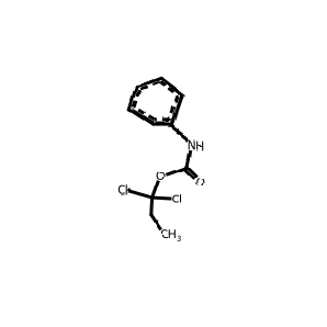 CCC(Cl)(Cl)OC(=O)Nc1ccccc1